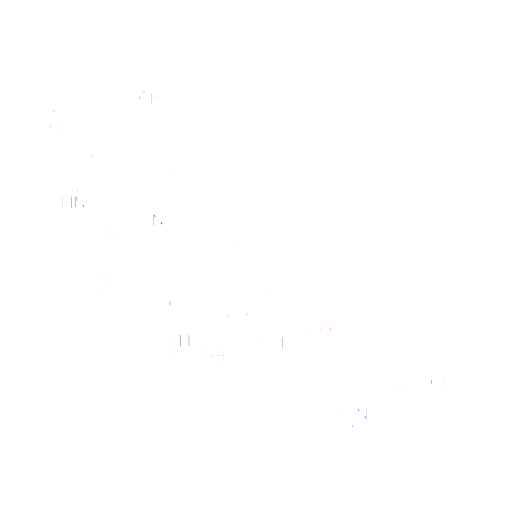 Cc1cn(C2O[C@H](COC(=O)[C@H](C)N)C(C)(O)[C@@]2(C)F)c(=O)[nH]c1=O